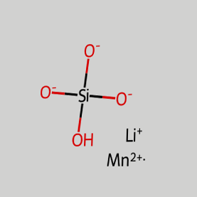 [Li+].[Mn+2].[O-][Si]([O-])([O-])O